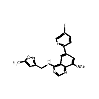 COc1cc(-c2ccc(F)cn2)cc2c(NCc3cc(C)on3)ncnc12